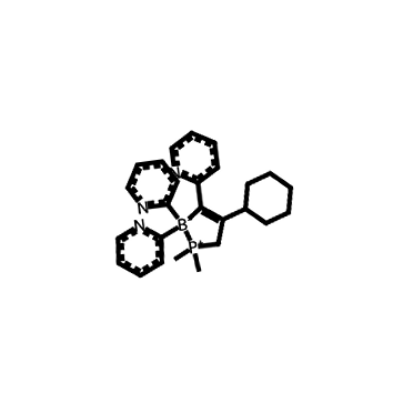 C[P+]1(C)CC(C2CCCCC2)=C(c2ccccn2)[B-]1(c1ccccn1)c1ccccn1